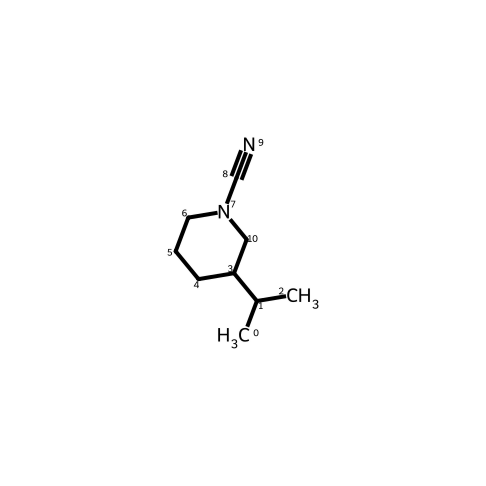 CC(C)C1CCCN(C#N)C1